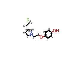 Oc1ccc(OCCN2CC[C@H](CCF)C2)cc1